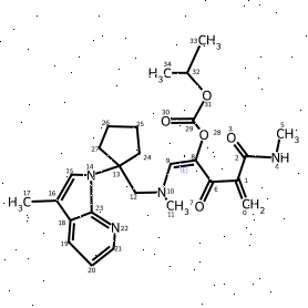 C=C(C(=O)NC)C(=O)/C(=C\N(C)CC1(n2cc(C)c3cccnc32)CCCC1)OC(=O)OC(C)C